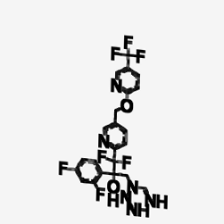 N=CN(CC(O)(c1ccc(F)cc1F)C(F)(F)c1ccc(COc2ccc(C(F)(F)F)cn2)cn1)N=N